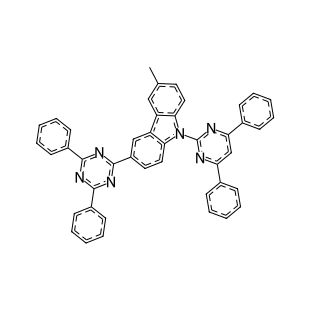 Cc1ccc2c(c1)c1cc(-c3nc(-c4ccccc4)nc(-c4ccccc4)n3)ccc1n2-c1nc(-c2ccccc2)cc(-c2ccccc2)n1